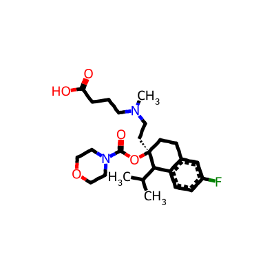 CC(C)C1c2ccc(F)cc2CC[C@]1(CCN(C)CCCC(=O)O)OC(=O)N1CCOCC1